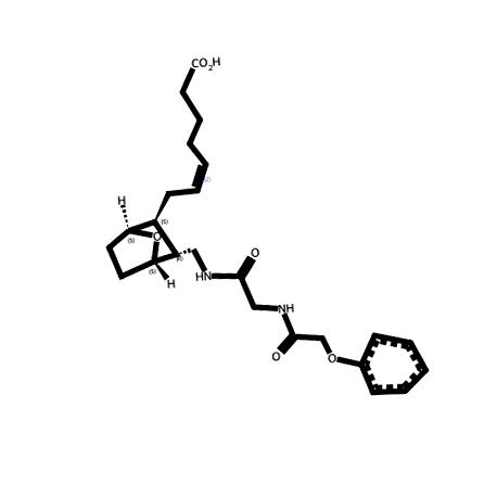 O=C(O)CCC/C=C\C[C@H]1[C@H](CNC(=O)CNC(=O)COc2ccccc2)[C@@H]2CC[C@@H]1O2